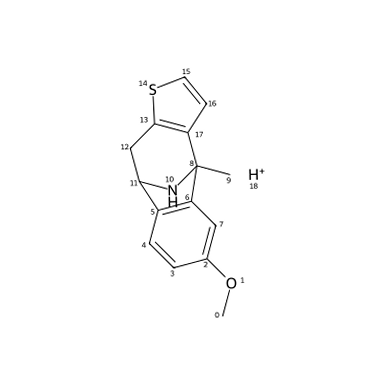 COc1ccc2c(c1)C1(C)NC2Cc2sccc21.[H+]